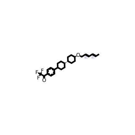 C/C=C/C=C/CO[C@H]1CC[C@H](C2CCC(c3ccc(C(=O)C(F)(F)F)cc3)CC2)CC1